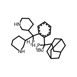 CC(C)(C)C(P)(c1ccccc1C(P)(C1CCCNC1)C1CCCNC1)C12CC3CC(CC(C3)C1)C2